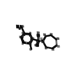 Cc1ccc(N)cc1S(=O)(=O)N1CCCCCC1